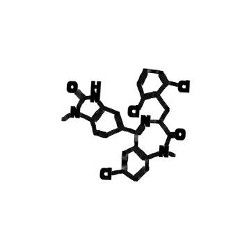 CN1C(=O)C(Cc2c(Cl)cccc2Cl)N=C(c2ccc3c(c2)[nH]c(=O)n3C)c2cc(Cl)ccc21